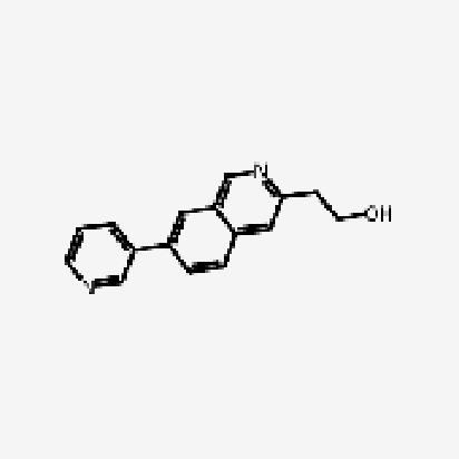 OCCc1cc2ccc(-c3cccnc3)cc2cn1